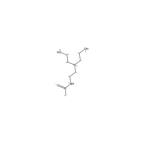 CC(=O)NCCN(CCO)CCO